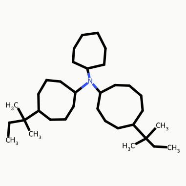 CCC(C)(C)C1CCCCC(N(C2CCCCCC2)C2CCCC(C(C)(C)CC)CCC2)CCC1